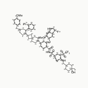 COc1ccc(CN2CCN(C3CC4(CCN(c5ccc(C(=O)NS(=O)(=O)c6cnc(NCC7CCC(C)(O)CC7)c(S(=O)(=O)C(F)(F)F)c6)c(Oc6cc7c(F)c[nH]c7nc6OC)c5)CC4)C3)[C@H](c3ccccc3C(C)C)C2)cc1